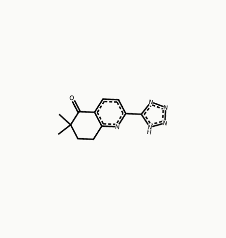 CC1(C)CCc2nc(-c3nnn[nH]3)ccc2C1=O